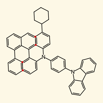 c1ccc(-c2cccc3cccc(-c4ccccc4N(c4ccc(C5CCCCC5)cc4)c4ccc(-n5c6ccccc6c6ccccc65)cc4)c23)cc1